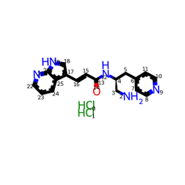 Cl.Cl.NC[C@H](Cc1ccncc1)NC(=O)/C=C/c1c[nH]c2ncccc12